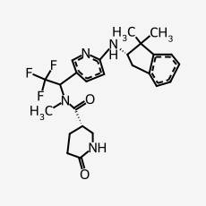 CN(C(=O)[C@H]1CCC(=O)NC1)C(c1ccc(N[C@H]2Cc3ccccc3C2(C)C)nc1)C(F)(F)F